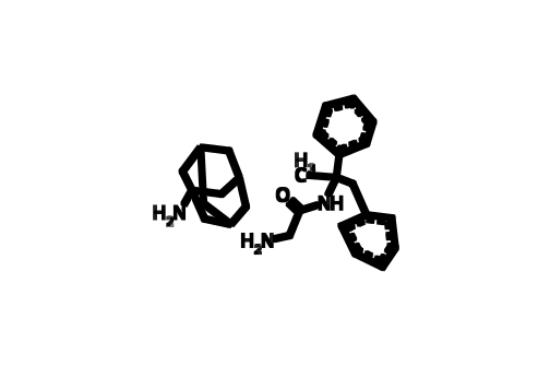 CC(Cc1ccccc1)(NC(=O)CN)c1ccccc1.NC12CC3CC(CC(C3)C1)C2